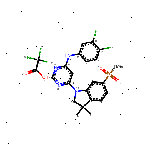 CNS(=O)(=O)c1ccc2c(c1)N(c1cc(Nc3ccc(F)c(F)c3)ncn1)CC2(C)C.O=C(O)C(F)(F)F